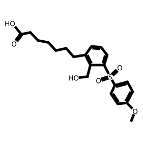 COc1ccc(S(=O)(=O)c2cccc(CCCCCCC(=O)O)c2CO)cc1